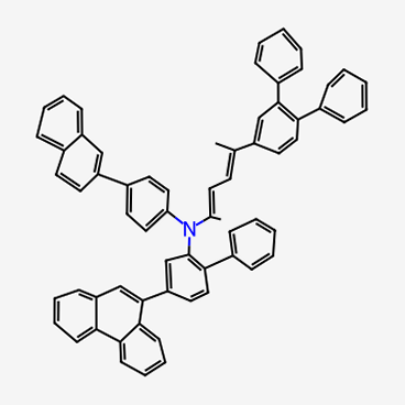 C/C(=C\C=C(/C)N(c1ccc(-c2ccc3ccccc3c2)cc1)c1cc(-c2cc3ccccc3c3ccccc23)ccc1-c1ccccc1)c1ccc(-c2ccccc2)c(-c2ccccc2)c1